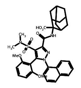 COc1cccc(OC)c1-c1c(S(=O)(=O)N(C)C)c(C(=O)NC2(C(=O)O)C3CC4CC(C3)CC2C4)nn1-c1cccc2ccccc12